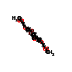 C=CC(=O)OCCCCOc1ccc(C(=O)Cc2ccc(OC(=O)c3ccc(OCCCCOC(=O)C=C)cc3)cc2C)cc1